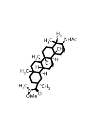 CON(C)C(=O)[C@@]1(C)CC[C@]2(C)CC[C@]3(C)[C@H](CC[C@@H]4[C@@]5(C)CC[C@H](NC(C)=O)C(C)(C)C5CC[C@]43C)[C@H]2C1